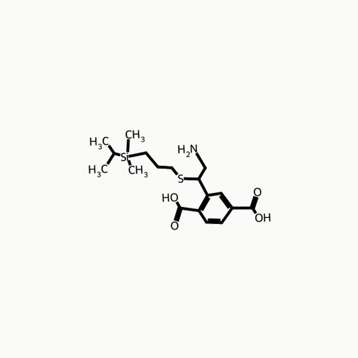 CC(C)[Si](C)(C)CCCSC(CN)c1cc(C(=O)O)ccc1C(=O)O